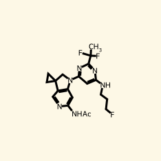 CC(=O)Nc1cc2c(cn1)C1(CC1)CN2c1cc(NCCCF)nc(C(C)(F)F)n1